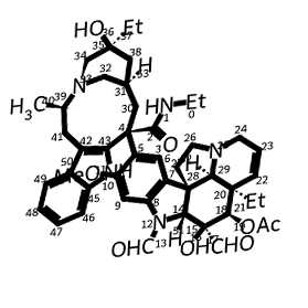 CCNC(=O)[C@]1(c2cc3c(cc2OC)N(C=O)[C@H]2[C@@](O)(C=O)[C@H](OC(C)=O)[C@]4(CC)C=CCN5CC[C@]32[C@@H]54)C[C@H]2C[N@](C[C@](O)(CC)C2)[C@H](C)Cc2c1[nH]c1ccccc21